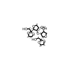 OCC1([C@H]2OC[C@H](O)[C@H]2O[C@@H]2[C@@H](O)CO[C@@H]2C2(CO)OCCO2)OCCO1